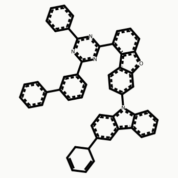 C1=CCC(c2ccc3c(c2)c2ccccc2n3-c2ccc3c(c2)oc2cccc(-c4nc(-c5ccccc5)nc(-c5cccc(-c6ccccc6)c5)n4)c23)C=C1